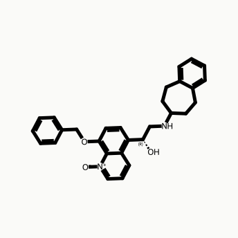 [O-][n+]1cccc2c([C@@H](O)CNC3CCc4ccccc4CC3)ccc(OCc3ccccc3)c21